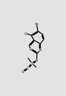 CS(C)(=C=O)=Nc1ncc2c(Cl)c(Br)ccc2n1